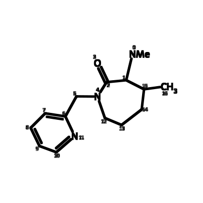 CNC1C(=O)N(Cc2ccccn2)CCCC1C